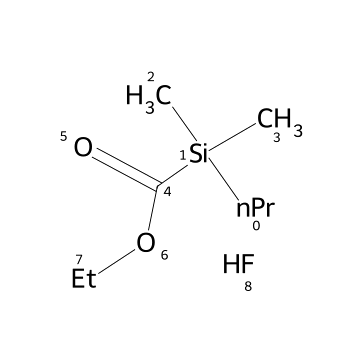 CCC[Si](C)(C)C(=O)OCC.F